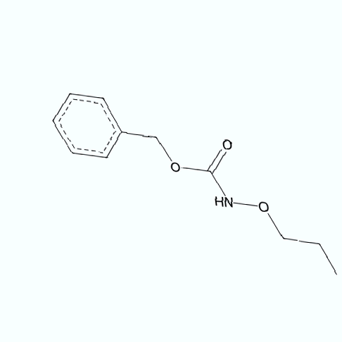 CCCONC(=O)OCc1ccccc1